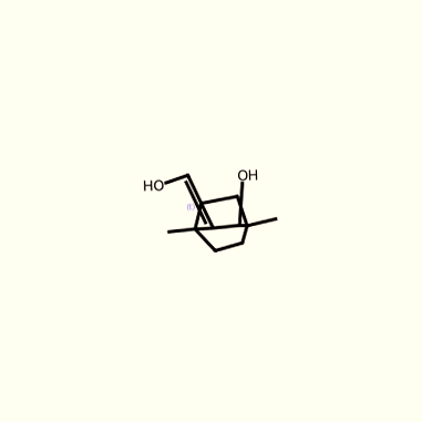 CC12CCC(C)(CC1)C(O)/C2=C/O